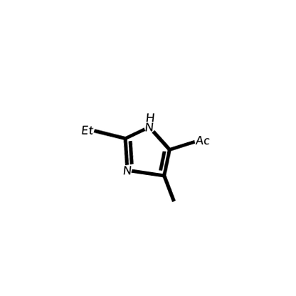 CCc1nc(C)c(C(C)=O)[nH]1